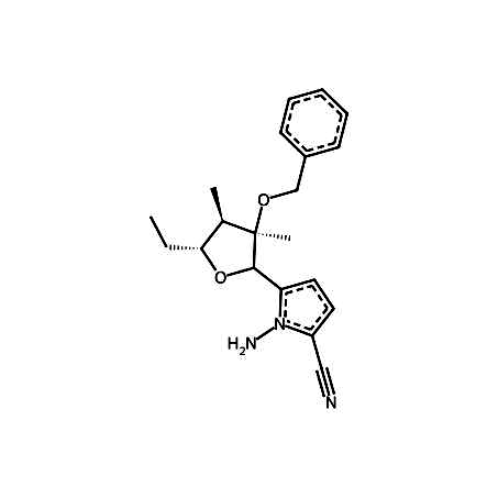 CC[C@H]1OC(c2ccc(C#N)n2N)[C@](C)(OCc2ccccc2)[C@@H]1C